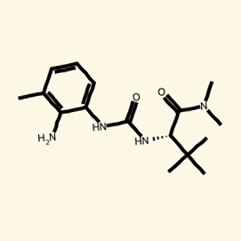 Cc1cccc(NC(=O)N[C@H](C(=O)N(C)C)C(C)(C)C)c1N